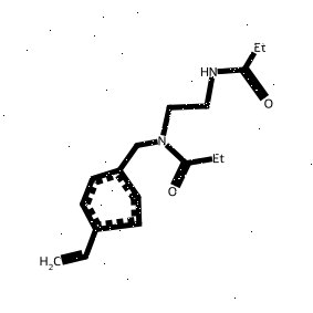 C=Cc1ccc(CN(CCNC(=O)CC)C(=O)CC)cc1